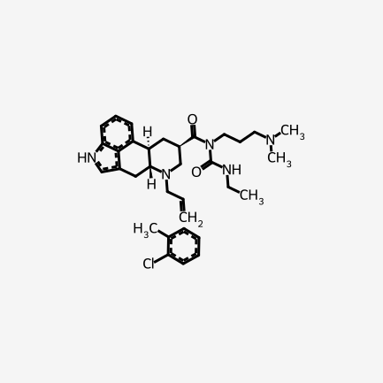 C=CCN1C[C@H](C(=O)N(CCCN(C)C)C(=O)NCC)C[C@@H]2c3cccc4[nH]cc(c34)C[C@H]21.Cc1ccccc1Cl